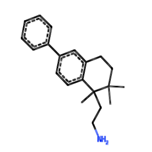 CC1(C)CCc2cc(-c3ccccc3)ccc2C1(C)CCN